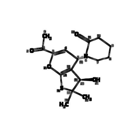 CC(=O)C1=C[C@H](N2CCCCC2=O)C2=C(O1)SC(C)(C)[C@@H]2O